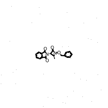 C[C@H]1[C@H](N2C(=O)c3ccccc3C2=O)C(=O)N1OCc1ccccc1